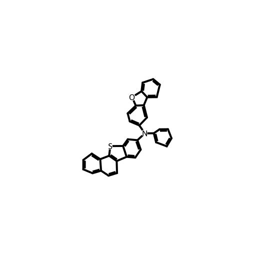 c1ccc(N(c2ccc3c(c2)sc2c4ccccc4ccc32)c2ccc3oc4ccccc4c3c2)cc1